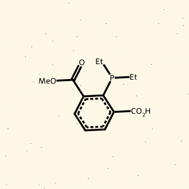 CCP(CC)c1c(C(=O)O)cccc1C(=O)OC